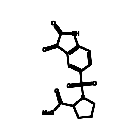 COC(=O)C1CCCN1S(=O)(=O)c1ccc2c(c1)C(=O)C(=O)N2